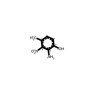 Cc1ccc(O)c(N)c1[N+](=O)[O-]